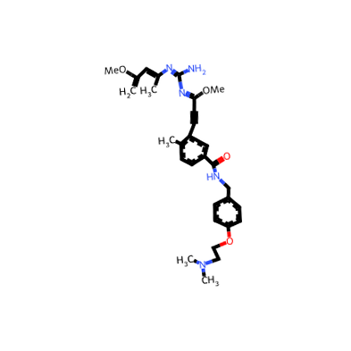 C=C(/C=C(C)/N=C(N)\N=C(\C#Cc1cc(C(=O)NCc2ccc(OCCN(C)C)cc2)ccc1C)OC)OC